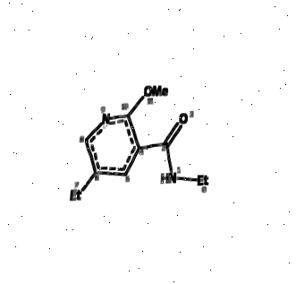 CCNC(=O)c1cc(CC)cnc1OC